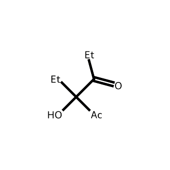 CCC(=O)C(O)(CC)C(C)=O